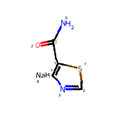 NC(=O)c1cncs1.[NaH]